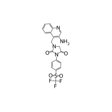 Nc1cnc2ccccc2c1CN1CC(=O)N(c2ccc(S(=O)(=O)C(F)(F)F)cc2)C1=O